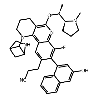 C[C@H](Oc1nc2c(F)c(-c3cc(O)cc4ccccc34)c(CCC#N)cc2c2c1CCCN2C1C2CNC1C2)[C@@H]1CCCN1C